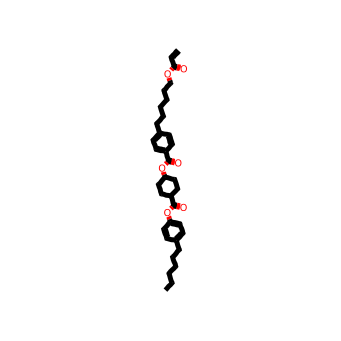 C=CC(=O)OCCCCCCc1ccc(C(=O)OC2CCC(C(=O)Oc3ccc(CCCCCC)cc3)CC2)cc1